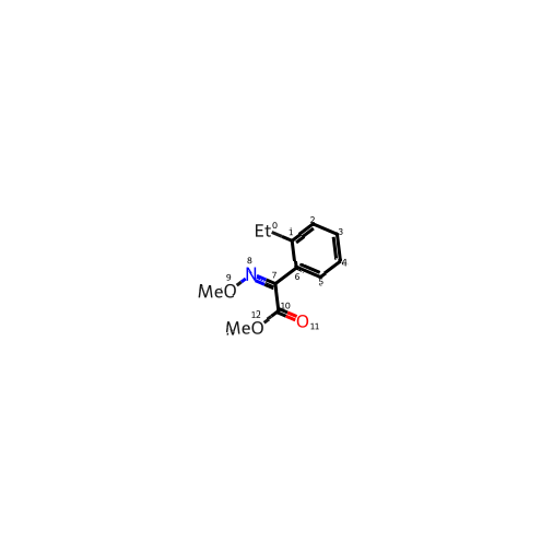 CCc1ccccc1C(=NOC)C(=O)OC